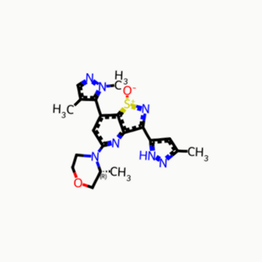 Cc1cc(-c2n[s+]([O-])c3c(-c4c(C)cnn4C)cc(N4CCOC[C@H]4C)nc23)[nH]n1